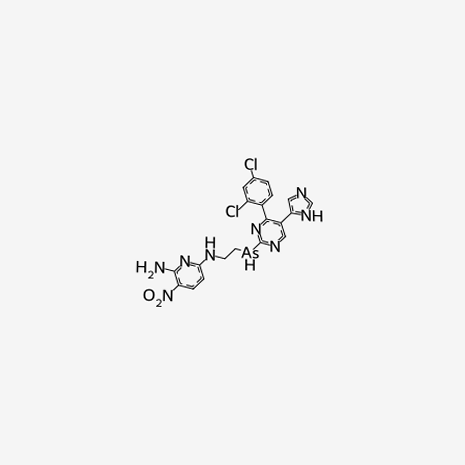 Nc1nc(NCC[AsH]c2ncc(-c3cnc[nH]3)c(-c3ccc(Cl)cc3Cl)n2)ccc1[N+](=O)[O-]